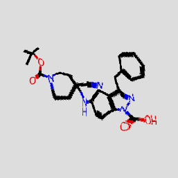 CC(C)(C)OC(=O)N1CCC(C#N)(Nc2ccc3c(c2)c(Cc2ccccc2)nn3C(=O)O)CC1